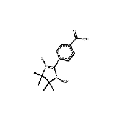 CC1(C)N(O)C(c2ccc(C(=O)O)cc2)=[N+]([O-])C1(C)C